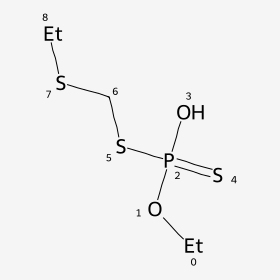 CCOP(O)(=S)SCSCC